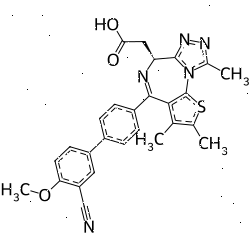 COc1ccc(-c2ccc(C3=N[C@@H](CC(=O)O)c4nnc(C)n4-c4sc(C)c(C)c43)cc2)cc1C#N